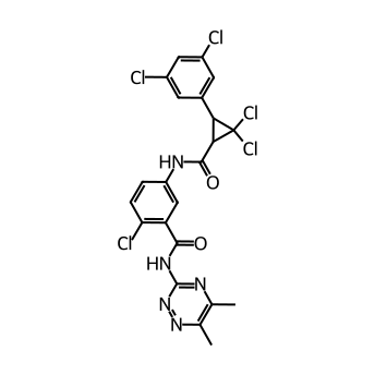 Cc1nnc(NC(=O)c2cc(NC(=O)C3C(c4cc(Cl)cc(Cl)c4)C3(Cl)Cl)ccc2Cl)nc1C